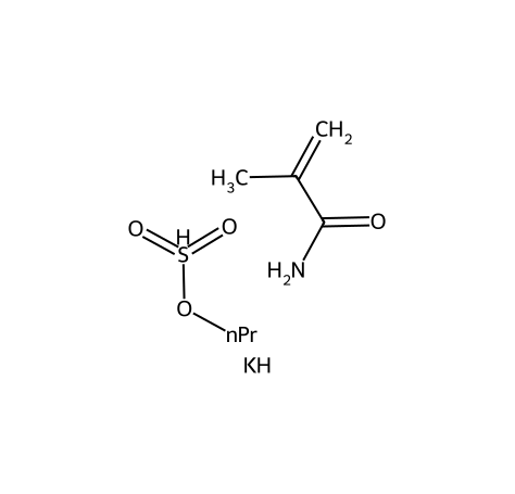 C=C(C)C(N)=O.CCCO[SH](=O)=O.[KH]